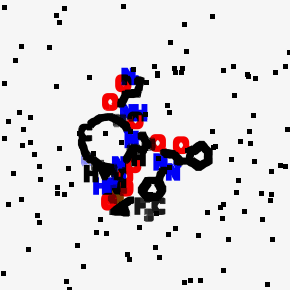 CC1(S(=O)(=O)NC(=O)[C@@]23C[C@H]2/C=C\CCCCC[C@H](NC(=O)c2ccno2)C(=O)N2C[C@H](Oc4nc(-c5ccc(C(F)(F)F)cc5)nc5c4oc4ccccc45)C[C@H]2C(=O)N3)CC1